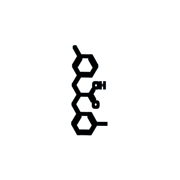 Cc1cccc(CC(Cc2cccc(C)c2)C(=O)O)c1